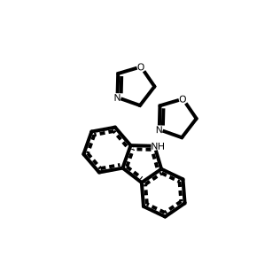 C1=NCCO1.C1=NCCO1.c1ccc2c(c1)[nH]c1ccccc12